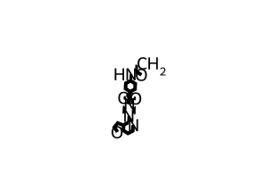 C=CC(=O)Nc1ccc(S(=O)(=O)N2CCN(c3nccc4occc34)CC2)cc1